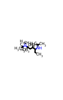 CCC(NC(C)C)C(C)CC(C)(C)N(C)C(C)(C)C